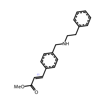 COC(=O)/C=C/c1ccc(CNCCc2ccccc2)cc1